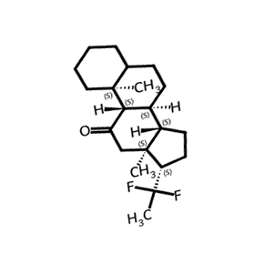 CC(F)(F)[C@H]1CC[C@H]2[C@@H]3CCC4CCCC[C@]4(C)[C@H]3C(=O)C[C@]12C